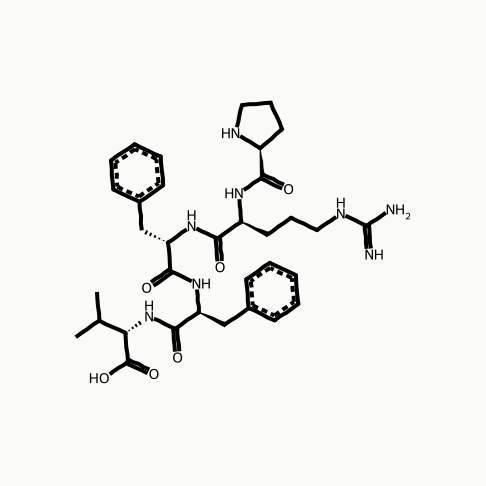 CC(C)[C@H](NC(=O)[C@H](Cc1ccccc1)NC(=O)[C@H](Cc1ccccc1)NC(=O)[C@H](CCCNC(=N)N)NC(=O)[C@@H]1CCCN1)C(=O)O